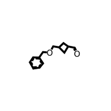 O=CC1CC(COCc2ccccc2)C1